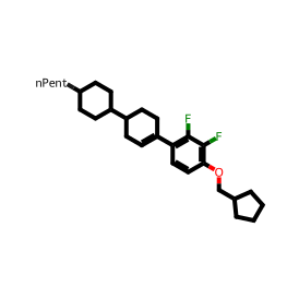 CCCCCC1CCC(C2CC=C(c3ccc(OCC4CCCC4)c(F)c3F)CC2)CC1